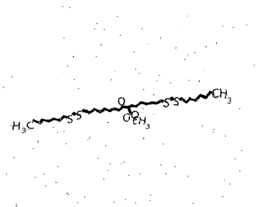 CCCCCCCCSCSCCCCCCCCC(=O)C(CCCCCCCSCSCCCCCCCC)C(=O)OC